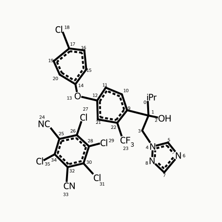 CC(C)C(O)(Cn1cncn1)c1ccc(Oc2ccc(Cl)cc2)cc1C(F)(F)F.N#Cc1c(Cl)c(Cl)c(Cl)c(C#N)c1Cl